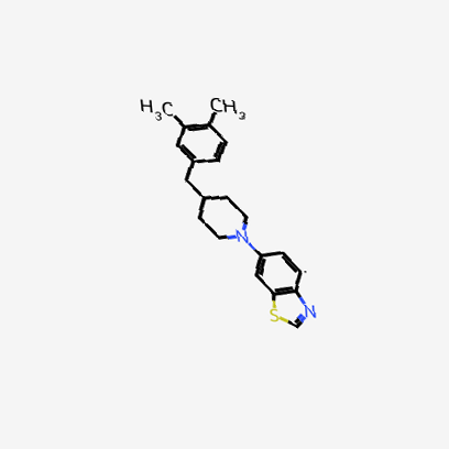 Cc1ccc(CC2CCN(c3c[c]c4ncsc4c3)CC2)cc1C